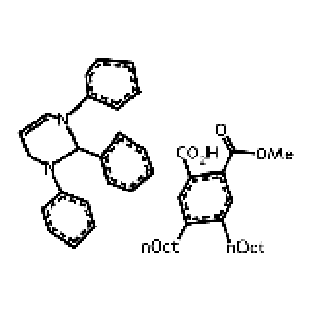 C1=CN(c2ccccc2)C(c2ccccc2)N(c2ccccc2)C1.CCCCCCCCc1cc(C(=O)O)c(C(=O)OC)cc1CCCCCCCC